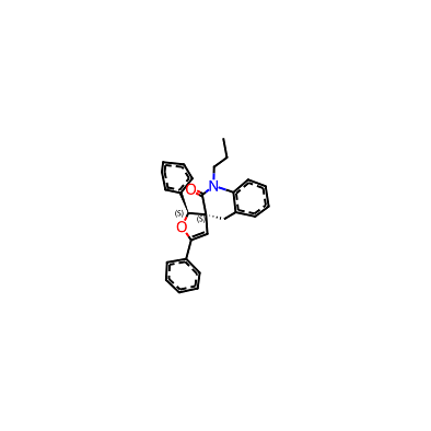 CCCN1C(=O)[C@]2(C=C(c3ccccc3)O[C@H]2c2ccccc2)Cc2ccccc21